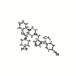 C[C@H](c1ccc(C#N)cc1)n1cncc1CN1CCN(c2ccccc2)C(C(=O)N2CCC(F)(F)CC2)C1